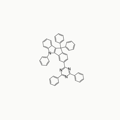 c1ccc(-c2nc(-c3ccccc3)nc(-c3ccc4c(c3)-c3c(c5ccccc5n3-c3ccccc3)C4(c3ccccc3)c3ccccc3)n2)cc1